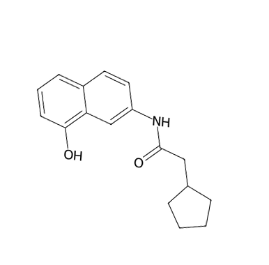 O=C(CC1CCCC1)Nc1ccc2cccc(O)c2c1